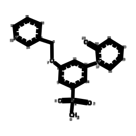 CS(=O)(=O)c1cc(OCc2cccnc2)cc(-n2ccccc2=O)c1